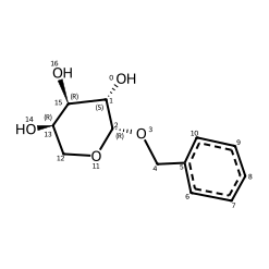 O[C@@H]1[C@H](OCc2ccccc2)OC[C@@H](O)[C@H]1O